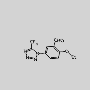 CCOc1ccc(-n2nnnc2C(F)(F)F)cc1C=O